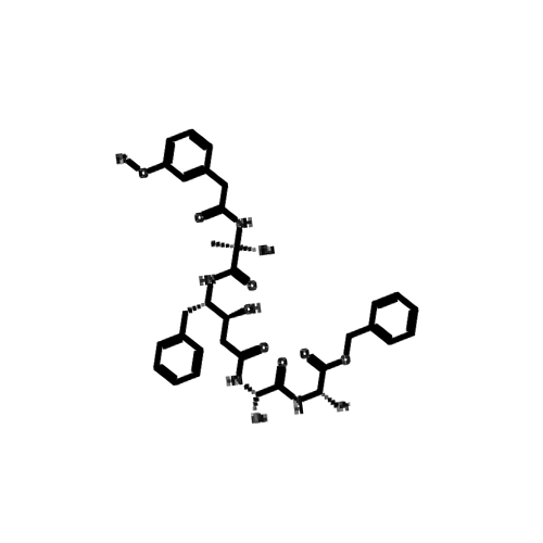 CCOc1cccc(CC(=O)N[C@](C)(C(=O)N[C@@H](Cc2ccccc2)[C@@H](O)CC(=O)N[C@H](C(=O)N[C@H](C(=O)OCc2ccccc2)C(C)C)[C@@H](C)CC)[C@@H](C)CC)c1